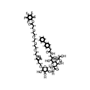 O=C(Cc1ccc(-c2ccccc2)cc1)NC[C@@H](O)[C@@H](O)[C@@H]1O[C@](OC[C@H]2O[C@@H](OCCc3cn(CCOCCOCCOCCOCCC(=O)Oc4c(F)c(F)c(F)c(F)c4F)nn3)[C@H](O)[C@@H](O)[C@H]2O)(C(=O)O)C[C@H](O)[C@H]1NC(=O)CO